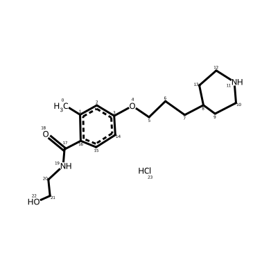 Cc1cc(OCCCC2CCNCC2)ccc1C(=O)NCCO.Cl